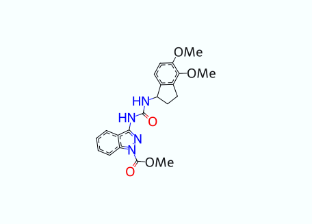 COC(=O)n1nc(NC(=O)NC2CCc3c2ccc(OC)c3OC)c2ccccc21